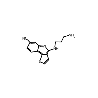 N#Cc1ccc2c(c1)nc(NCCCN)c1ccsc12